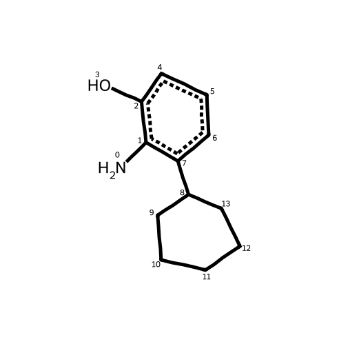 Nc1c(O)cccc1C1CCCCC1